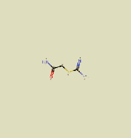 N=C(N)SCC(N)=O